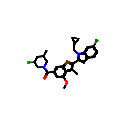 COc1cc(C(=O)N2C[C@H](C)C[C@@H](F)C2)cc2sc(-c3cc4ccc(Br)cc4n3CC3CC3)c(C)c12